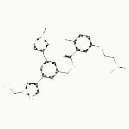 Cc1ccc(OCCN(C)C)cc1C(=O)N[C@H](C)c1cc(-c2cnn(C)c2)cc(-c2cnn(CC(C)C)c2)c1